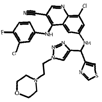 N#Cc1cnc2c(Cl)cc(NC(c3cscn3)c3cn(CCN4CCOCC4)nn3)cc2c1Nc1ccc(F)c(Cl)c1